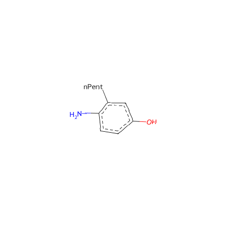 CCCCCc1cc(O)ccc1N